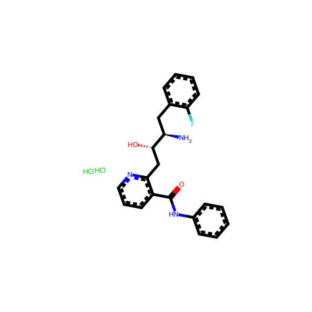 Cl.Cl.N[C@H](Cc1ccccc1F)[C@@H](O)Cc1ncccc1C(=O)Nc1ccccc1